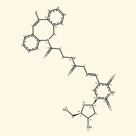 C/C1=C/c2ccccc2N(C(=O)CCNC(=O)C/C=C/c2cn([C@H]3CC(O)[C@@H](CO)O3)c(=O)[nH]c2=O)Cc2ccccc21